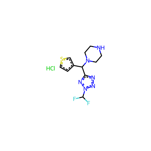 Cl.FC(F)n1nnc(C(c2ccsc2)N2CCNCC2)n1